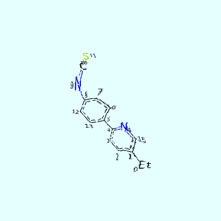 CCc1ccc(-c2ccc(N=C=S)cc2)nc1